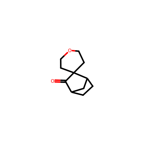 O=C1C2CCC(C2)C12CCOCC2